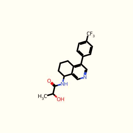 CC(O)C(=O)NC1CCCc2c(-c3ccc(C(F)(F)F)cc3)cncc21